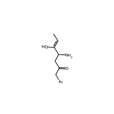 CC=C(O)C(N)CC(=O)CC(C)=O